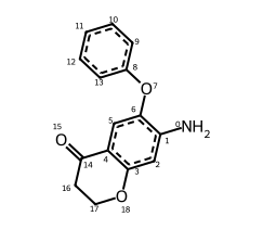 Nc1cc2c(cc1Oc1ccccc1)C(=O)CCO2